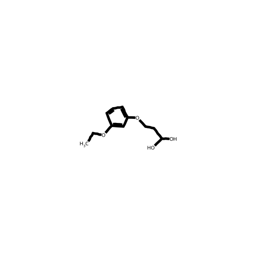 CCOc1cccc(OCCC(O)O)c1